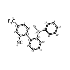 [C-]#[N+]c1cc(C(F)(F)F)ccc1-c1ccccc1N(C)c1ccccc1